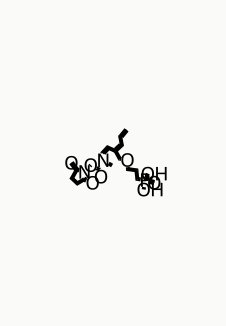 C=C/C=C(\C=C/N(C)C(=O)ON1C(=O)CCC1=O)COCCCP(=O)(O)O